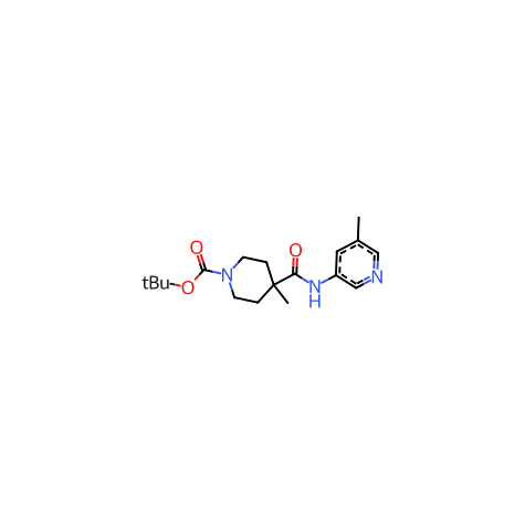 Cc1cncc(NC(=O)C2(C)CCN(C(=O)OC(C)(C)C)CC2)c1